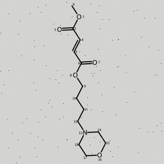 COC(=O)/C=C/C(=O)OCCCCN1CCOCC1